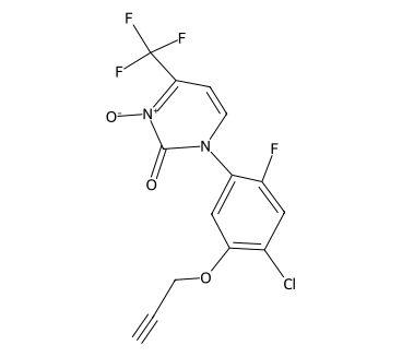 C#CCOc1cc(-n2ccc(C(F)(F)F)[n+]([O-])c2=O)c(F)cc1Cl